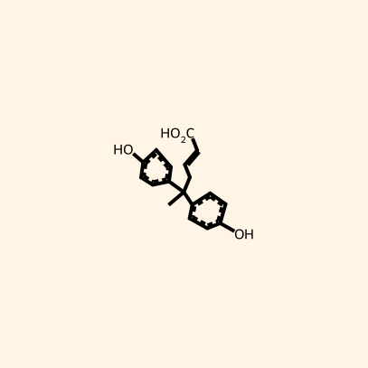 CC(CC=CC(=O)O)(c1ccc(O)cc1)c1ccc(O)cc1